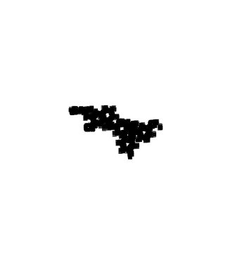 CC(C)(C)NCc1cc2c(cc1Cl)[C@H](NC(=O)C[C@@H](NS(=O)(=O)c1cccc(C(F)(F)F)c1)c1ccc(F)cc1)CCC2